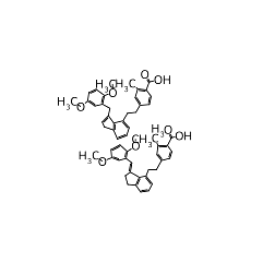 COc1ccc(OC)c(C=C2CCc3cccc(CCc4ccc(C(=O)O)c(C)c4)c32)c1.COc1ccc(OC)c(CC2=CCc3cccc(CCc4ccc(C(=O)O)c(C)c4)c32)c1